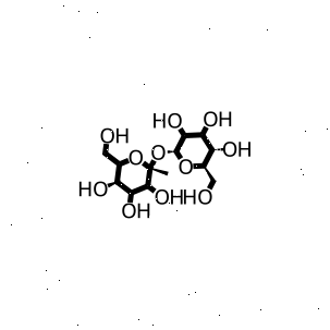 C[C@]1(O[C@H]2O[C@H](CO)[C@@H](O)C(O)C2O)OC(CO)[C@H](O)C(O)C1O